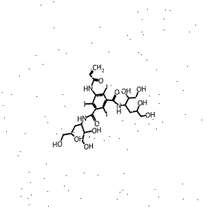 C=CC(=O)Nc1c(I)c(C(=O)NC(CC(O)CO)C(O)CO)c(I)c(C(=O)NC(CC(O)CO)C(O)CO)c1I